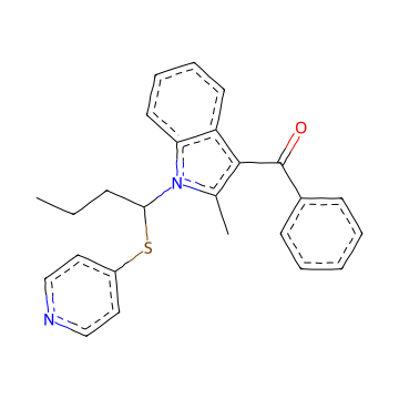 CCCC(Sc1ccncc1)n1c(C)c(C(=O)c2ccccc2)c2ccccc21